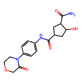 NC(=O)C1CC(C(=O)Nc2ccc(N3CCOCC3=O)cc2)CC1O